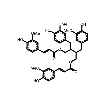 COc1cc(C=CC(=O)OCC(Cc2ccc(O)c(OC)c2)C(COC(=O)C=Cc2ccc(O)c(OC)c2)Cc2ccc(O)c(OC)c2)ccc1O